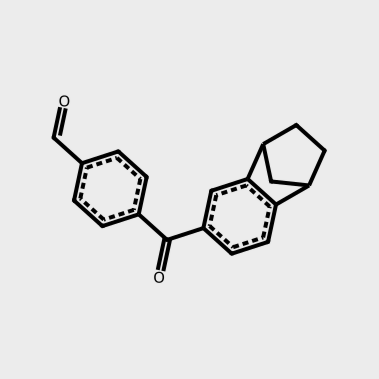 O=Cc1ccc(C(=O)c2ccc3c(c2)C2CCC3C2)cc1